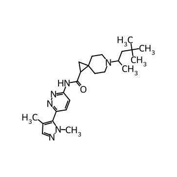 Cc1cnn(C)c1-c1ccc(NC(=O)C2CC23CCN(C(C)CC(C)(C)C)CC3)nn1